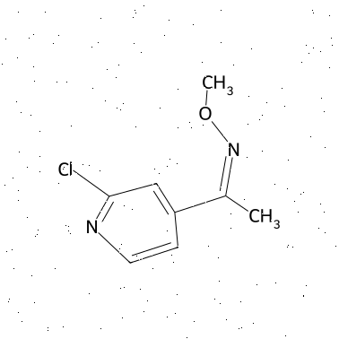 CO/N=C(/C)c1ccnc(Cl)c1